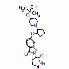 CC(C)(C)OC1CCN(C2CCCC2Oc2ccc3c(c2)CN(C2CCC(=O)NC2=O)C3=O)CC1